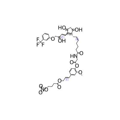 COc1cc(/C=C/COC(=O)CCCO[N+](=O)[O-])ccc1OC(=O)CNC(=O)CCC/C=C\C[C@@H]1[C@@H](/C=C/[C@@H](O)COc2cccc(C(F)(F)F)c2)[C@H](O)C[C@@H]1O